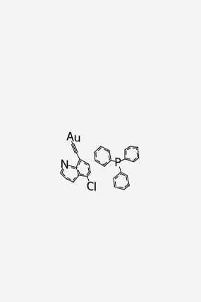 Clc1ccc(C#[C][Au])c2ncccc12.c1ccc(P(c2ccccc2)c2ccccc2)cc1